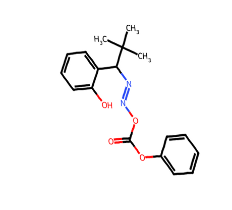 CC(C)(C)C(N=NOC(=O)Oc1ccccc1)c1ccccc1O